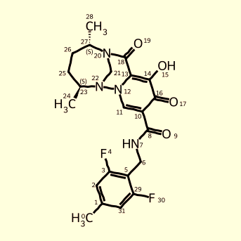 Cc1cc(F)c(CNC(=O)c2cn3c(c(O)c2=O)C(=O)N2CN3[C@@H](C)CC[C@@H]2C)c(F)c1